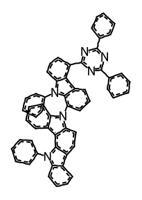 c1ccc(-c2nc(-c3ccccc3)nc(-c3cccc4c3c3cccc(-n5c6ccccc6c6c5ccc5c7ccccc7n(-c7ccccc7)c56)c3n4-c3ccccc3)n2)cc1